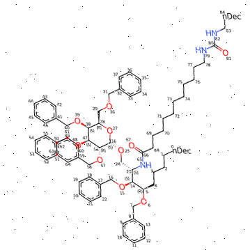 CCCCCCCCCCCCCC[C@@H](OCc1ccccc1)[C@@H](OCc1ccccc1)[C@H](CO[C@H]1O[C@H](COCc2ccccc2)[C@H](OCc2ccccc2)[C@H](OCc2ccccc2)[C@H]1OCc1ccccc1)NC(=O)CCCCCCCCCCCNC(=O)NCCCCCCCCCCC